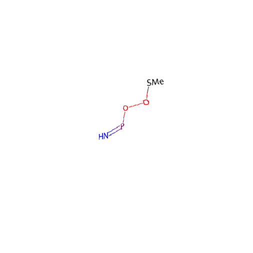 CSOOP=N